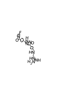 N=C(N)NCCCNCc1ccc(-c2cn3cc(-c4ccc(C(=O)N5CC[C@H](F)C5)cc4)[nH]c3nc2=O)cc1